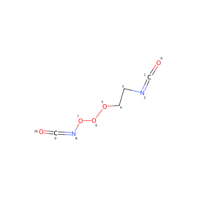 O=C=NCCOOON=C=O